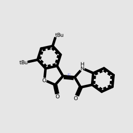 CC(C)(C)c1cc2c(c(C(C)(C)C)c1)OC(=O)/C2=C1/Nc2ccccc2C1=O